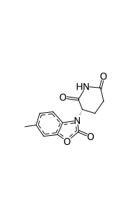 Cc1ccc2c(c1)oc(=O)n2[C@H]1CCC(=O)NC1=O